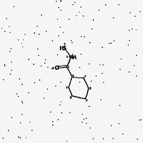 O=C(NS)C1CCCCC1